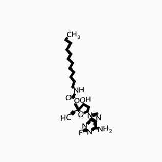 C#C[C@]1(COC(=O)NCCCCCCCCCCCC)O[C@@H](n2cnc3c(N)nc(F)nc32)C[C@@H]1O